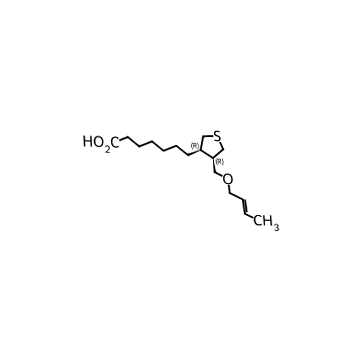 CC=CCOC[C@@H]1CSC[C@@H]1CCCCCCC(=O)O